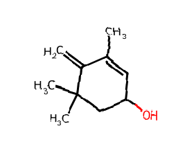 C=C1C(C)=CC(O)CC1(C)C